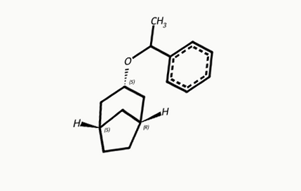 CC(O[C@@H]1C[C@@H]2CC[C@@H](C2)C1)c1ccccc1